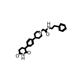 O=C(CN1CCC(c2ccc(C3CCC(=O)NC3=O)cc2)CC1)NCCc1ccccc1